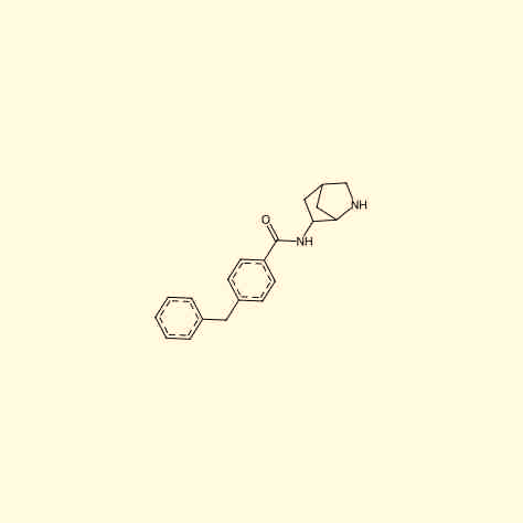 O=C(NC1CC2CNC1C2)c1ccc(Cc2ccccc2)cc1